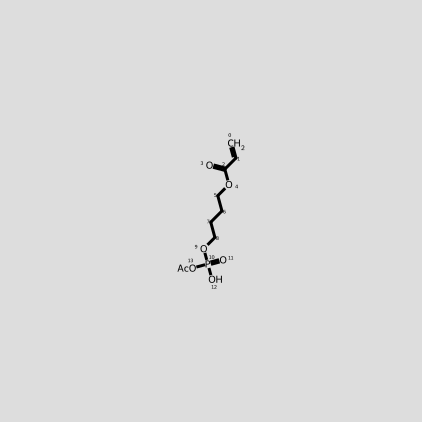 C=CC(=O)OCCCCOP(=O)(O)OC(C)=O